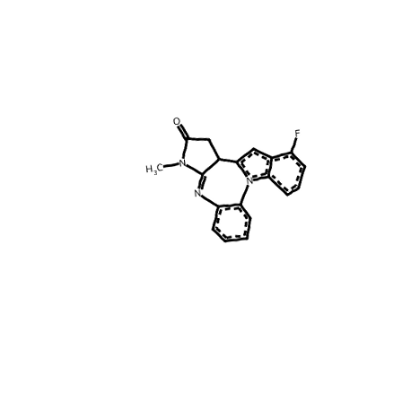 CN1C(=O)CC2C1=Nc1ccccc1-n1c2cc2c(F)cccc21